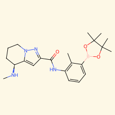 CN[C@H]1CCCn2nc(C(=O)Nc3cccc(B4OC(C)(C)C(C)(C)O4)c3C)cc21